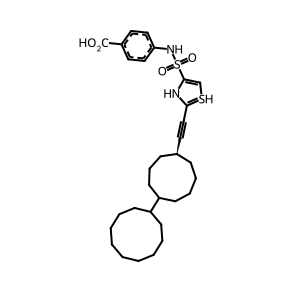 O=C(O)c1ccc(NS(=O)(=O)C2=C[SH]=C(C#C[C@H]3CCCCC(C4CCCCCCCCC4)CCC3)N2)cc1